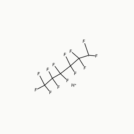 F[C](F)C(F)(F)C(F)(F)C(F)(F)C(F)(F)C(F)(F)F.[H+]